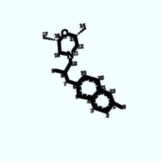 Cc1ccc2cc(CC(C)CN3C[C@@H](C)O[C@@H](C)C3)ccc2c1